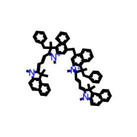 CN1/C(=C/C=C/C2=[N+](C)c3cc(Cc4cc5c(c6ccccc46)C(C)(Cc4ccccc4)C(/C=C/C=C4/N(C)c6ccc7ccccc7c6C4(C)C)=[N+]5C)c4ccccc4c3C2(C)Cc2ccccc2)C(C)(C)c2c1ccc1ccccc21